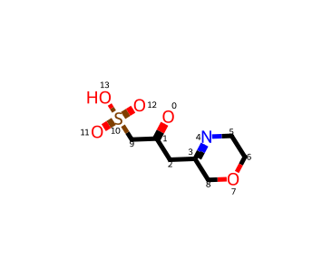 O=C(CC1=NCCOC1)CS(=O)(=O)O